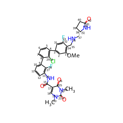 COc1cc(-c2cccc(-c3cccc(NC(=O)c4cn(C)c(=O)n(C)c4=O)c3F)c2Cl)cc(F)c1CNC[C@@H]1CCC(=O)N1